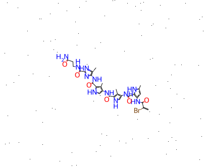 C=C(Br)C(=O)Nc1cc(C)[nH]c1C(=O)Nc1c[nH]c(C(=O)Nc2c[nH]c(C(=O)Nc3nc(C(=O)NCCC(N)=O)[nH]c3C)c2C)c1C